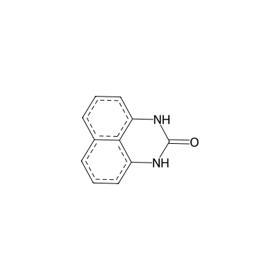 O=C1Nc2cccc3cccc(c23)N1